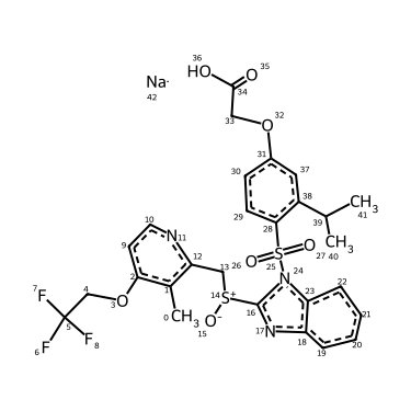 Cc1c(OCC(F)(F)F)ccnc1C[S+]([O-])c1nc2ccccc2n1S(=O)(=O)c1ccc(OCC(=O)O)cc1C(C)C.[Na]